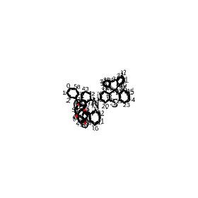 c1ccc(-c2ccc3oc4cccc(N(c5ccc6c(c5)Sc5ccccc5C65c6ccccc6-c6ccccc65)c5cccc6oc7ccccc7c56)c4c3c2)cc1